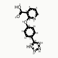 O=C(O)c1cccnc1Oc1ccc(-c2nnn[nH]2)cc1